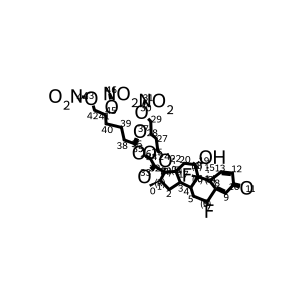 C[C@@H]1CC2C3C[C@H](F)C4=CC(=O)C=C[C@]4(C)[C@@]3(F)[C@@H](O)C[C@]2(C)[C@@]1(OC(=O)CCCO[N+](=O)[O-])C(=O)COC(=O)CCCC(CO[N+](=O)[O-])O[N+](=O)[O-]